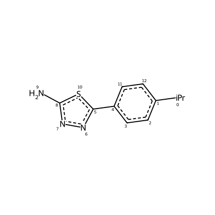 CC(C)c1ccc(-c2nnc(N)s2)cc1